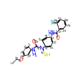 O=C(Nc1ccc(N(S)C(=O)Nc2cccc(OCI)c2)cc1)c1ccccc1F